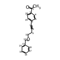 CC(=O)c1ccc(C#CCCOCc2ccccc2)cc1